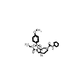 CCOC(=O)[C@@H]1C[C@@H]2CCN(C(=O)Nc3ccccc3)C[C@@H]2N1S(=O)(=O)c1ccc(OC)cc1